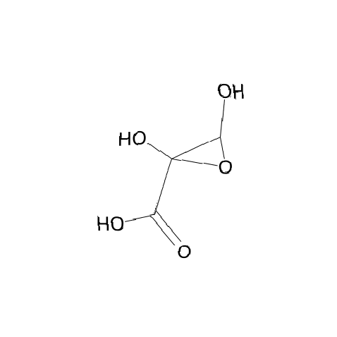 O=C(O)C1(O)OC1O